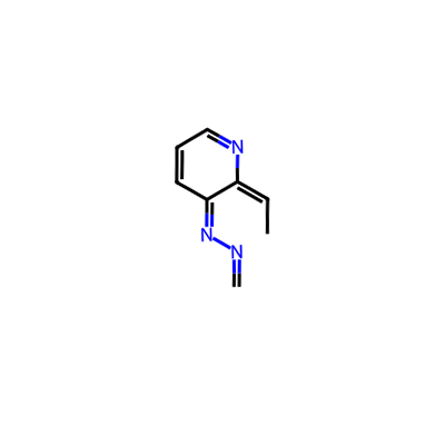 C=N/N=C1/C=CC=N/C1=C/C